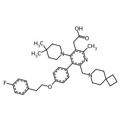 Cc1nc(CN2CCC3(CCC3)CC2)c(-c2ccc(OCCc3ccc(F)cc3)cc2)c(N2CCC(C)(C)CC2)c1CC(=O)O